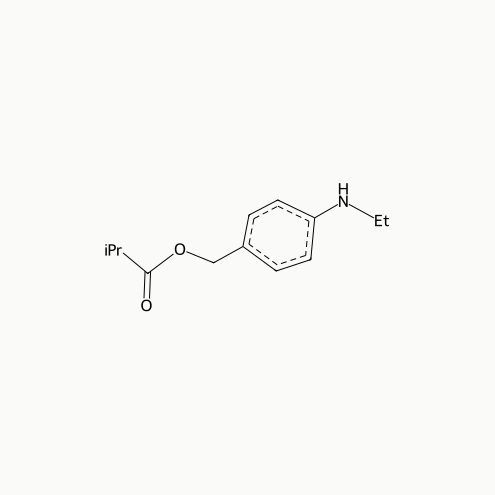 CCNc1ccc(COC(=O)C(C)C)cc1